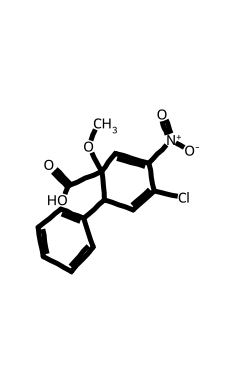 COC1(C(=O)O)C=C([N+](=O)[O-])C(Cl)=CC1c1ccccc1